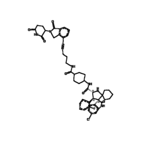 O=C1CCC(N2Cc3c(C#CCCCNC(=O)C4CCC(NC(=O)[C@@H]5NC6(CCCCC6)[C@@]6(C(=O)Nc7cc(Cl)ccc76)[C@H]5c5ccccc5F)CC4)cccc3C2=O)C(=O)N1